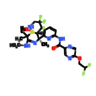 CC1(C)C(NC(=O)O)=N[C@](C)(c2nc(NC(=O)c3cnc(OCC(F)F)cn3)ccc2F)[C@H]2CC(F)(F)CNS21O